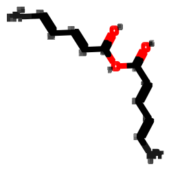 CCC/C=C/C=C/C(=O)OC(=O)/C=C/C=C/CCC